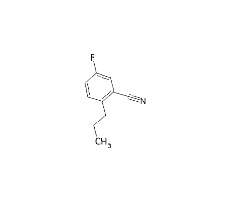 CCCc1ccc(F)cc1C#N